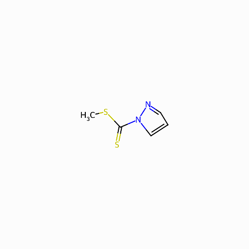 CSC(=S)n1cccn1